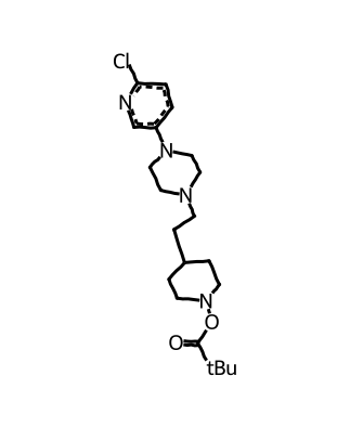 CC(C)(C)C(=O)ON1CCC(CCN2CCN(c3ccc(Cl)nc3)CC2)CC1